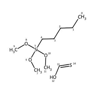 CCCCC[Si](OC)(OC)OC.OC=S